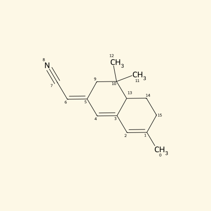 CC1=CC2=CC(=CC#N)CC(C)(C)C2CC1